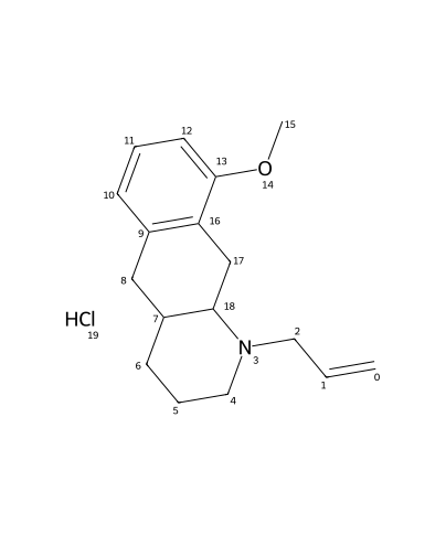 C=CCN1CCCC2Cc3cccc(OC)c3CC21.Cl